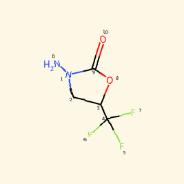 NN1CC(C(F)(F)F)OC1=O